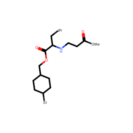 CCC1CCC(COC(=O)C(CC(C)C)NCCC(=O)OC)CC1